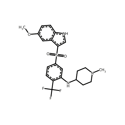 COc1ccc2[nH]cc(S(=O)(=O)c3ccc(C(F)(F)F)c(NC4CCN(C)CC4)c3)c2c1